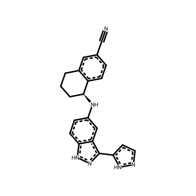 N#Cc1ccc2c(c1)CCC[C@@H]2Nc1ccc2[nH]nc(-c3ccn[nH]3)c2c1